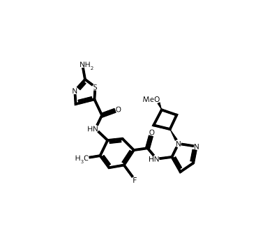 CO[C@H]1C[C@@H](n2nccc2NC(=O)c2cc(NC(=O)c3cnc(N)s3)c(C)cc2F)C1